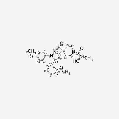 COc1ccc(-n2nc(C3(C(=O)O)CCN(C(=O)N(C)O)CC3)cc2-c2ccccc2OC)cc1